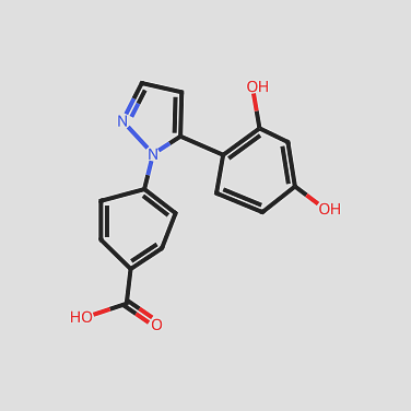 O=C(O)c1ccc(-n2nccc2-c2ccc(O)cc2O)cc1